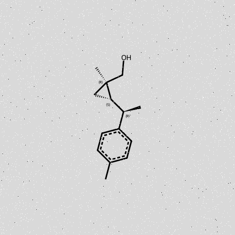 Cc1ccc([C@H](C)[C@@H]2C[C@@]2(C)CO)cc1